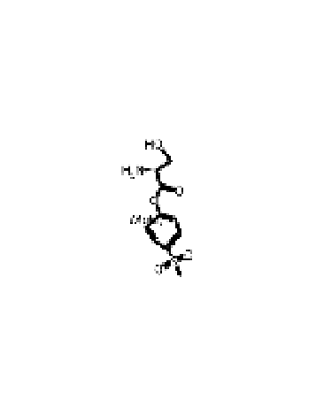 CS(=O)(=O)c1ccc(OC(=O)[C@@H](N)CO)cc1.[MgH2]